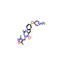 Cc1noc(C)c1CN1C[C@@H](C)n2c(cc3cc(OC4CCN(C(C)C)CC4)ccc32)C1=O